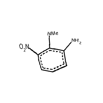 CNc1c(N)cccc1[N+](=O)[O-]